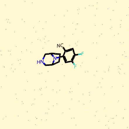 N#Cc1cc(F)c(F)cc1N1C2CCC1CNC2